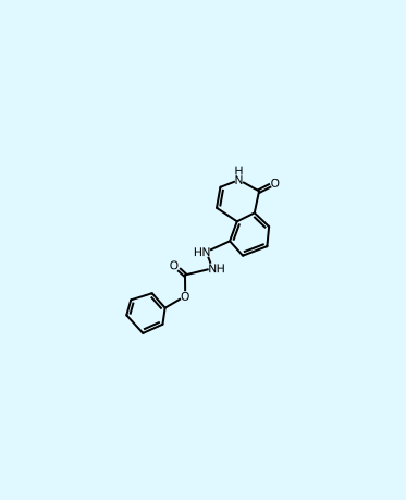 O=C(NNc1cccc2c(=O)[nH]ccc12)Oc1ccccc1